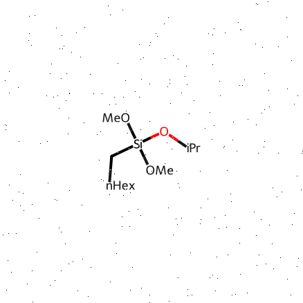 CCCCCCC[Si](OC)(OC)OC(C)C